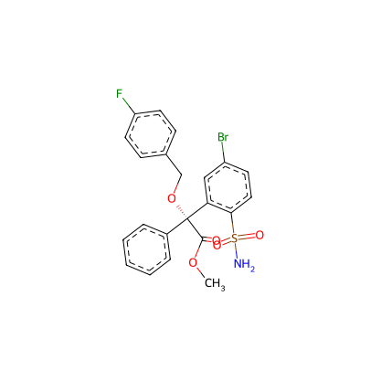 COC(=O)[C@@](OCc1ccc(F)cc1)(c1ccccc1)c1cc(Br)ccc1S(N)(=O)=O